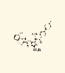 CCOC(=O)n1nc(NC(=O)c2ccc(N3CCN(C)CC3)cc2[N+](=O)[O-])c2c1C(C)(C)N(C(=O)Nc1c(Cl)cccc1Cl)C2